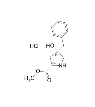 COC(=O)[C@@H]1C[C@@](O)(Cc2ccccc2)CN1.Cl